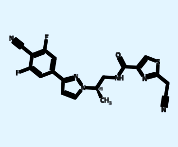 C[C@H](CNC(=O)c1csc(CC#N)n1)n1ccc(-c2cc(F)c(C#N)c(F)c2)n1